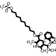 COC(=O)C1=C(C)NC(C)=C(C(=O)OCCCCCCCCCCOS(C)(=O)=O)[C@@H]1c1cccc2nonc12